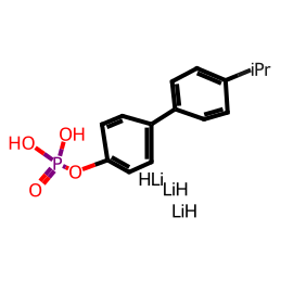 CC(C)c1ccc(-c2ccc(OP(=O)(O)O)cc2)cc1.[LiH].[LiH].[LiH]